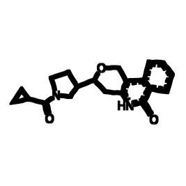 O=C(C1CC1)N1CCC(C2Cc3[nH]c(=O)c4ccccc4c3CO2)C1